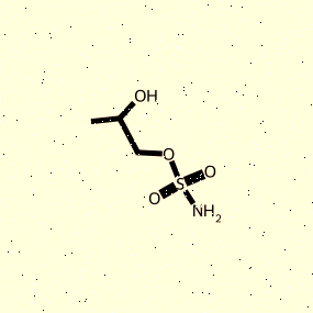 CC(O)COS(N)(=O)=O